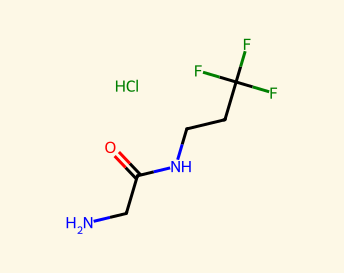 Cl.NCC(=O)NCCC(F)(F)F